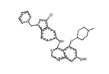 COc1cc(OC2CCN(C)CC2)c2c(Nc3ccc4c(c3)c(Cl)nn4Cc3ccccn3)ncnc2c1